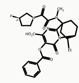 CCC1C2CCC(N(C)C(=O)C(=O)N3CC[C@@H](F)C3)(CC2)c2nc(C(=O)O)c(OC(=O)c3ccccc3)c(=O)n21